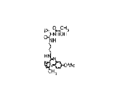 COc1ccc2c(c1)nc(NCCCCNC(=O)C(NC(=O)[C@H](C)O)C(C)C)c1nnc(C)n12